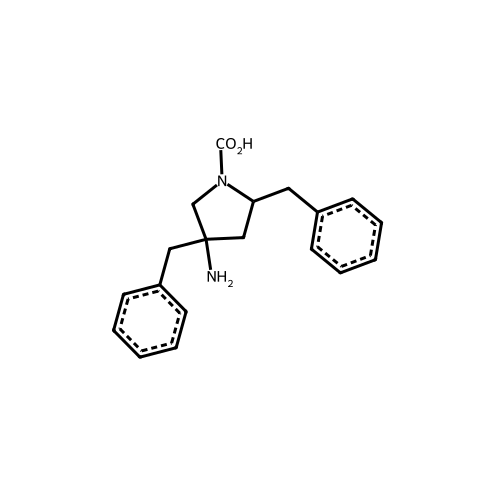 NC1(Cc2ccccc2)CC(Cc2ccccc2)N(C(=O)O)C1